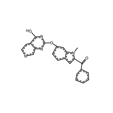 Cn1c(C(=O)c2ccccc2)cc2ccc(Oc3nc(O)c4ccncc4n3)cc21